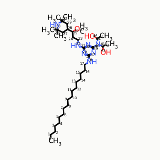 CCCCCCCCCCCCCCCCCCNc1nc(NCCC(OC)C2CC(C)(C)NC(C)(C)C2)nc(N(C(C)O)C(C)O)n1